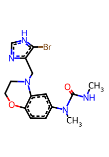 CNC(=O)N(C)c1ccc2c(c1)N(Cc1nc[nH]c1Br)CCO2